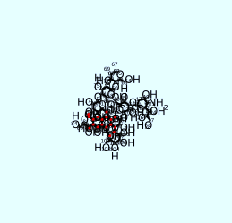 CC1C(O)[C@H](O[C@@H]2OC(CO)[C@H](O)C(O[C@]3(C(=O)O)C[C@@H](O)[C@@H](N)C([C@H](O)[C@H](O)CO)O3)C2O)[C@H](CO)O[C@H]1O[C@@H]1C(O)[C@H](O)C(CO)O[C@@H]1OCC1O[C@@H](O[C@@H]2C(CO)O[C@@H](O[C@@H]3C(CO)O[C@@H](C)[C@@H](C)C3O)[C@@H](C)C2O)[C@H](O)C(O[C@H]2O[C@H](CO)[C@@H](O)C(O)C2O[C@@H]2OC(CO)[C@@H](O[C@@H]3OC(CO)[C@H](O)C(O)[C@@H]3O)C(O)[C@@H]2C)[C@@H]1O